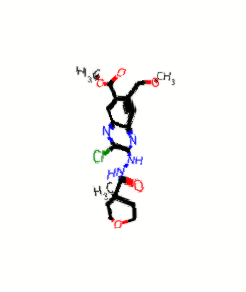 COCc1cc2nc(NNC(=O)C3(C)CCOCC3)c(Cl)nc2cc1C(=O)OC